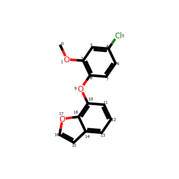 COc1cc(Cl)ccc1Oc1cccc2ccoc12